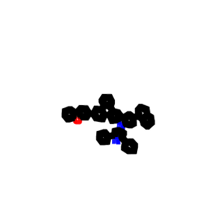 c1ccc(-c2cc(-n3c4ccc(-c5cccc6ccccc56)cc4c4cc5c6ccccc6c6cc(-c7ccc8c(c7)oc7ccccc78)ccc6c5cc43)cc(-c3ccccc3)n2)cc1